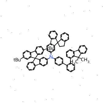 CC(C)(C)c1ccc2c(c1)C1(c3ccccc3-c3ccc(N(c4ccc(-c5ccccc5-c5cccc6c5C(C)(C)c5ccccc5-6)cc4)c4ccc5c(c4)C4(CCc6ccccc64)c4ccccc4-5)cc31)c1cc(C(C)(C)C)ccc1-2